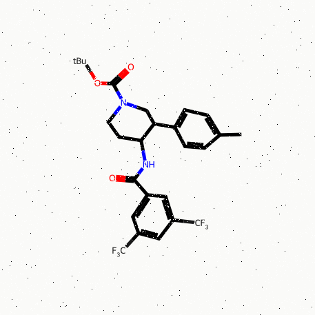 Cc1ccc(C2CN(C(=O)OC(C)(C)C)CCC2NC(=O)c2cc(C(F)(F)F)cc(C(F)(F)F)c2)cc1